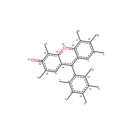 Cc1cc2c(-c3c(C)c(C)c(C)c(C)c3C)c3cc(C)c(=O)c(C)c-3oc2c(C)c1C